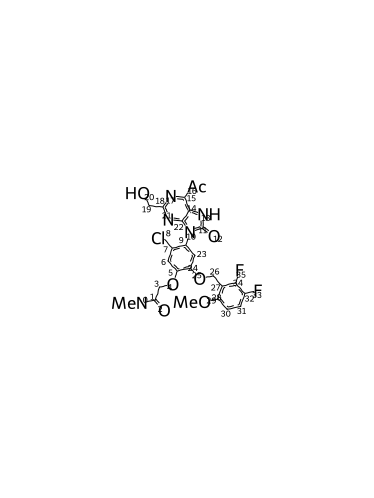 CNC(=O)COc1cc(Cl)c(-n2c(=O)[nH]c3c(C(C)=O)nc(CO)nc32)cc1OCc1c(OC)ccc(F)c1F